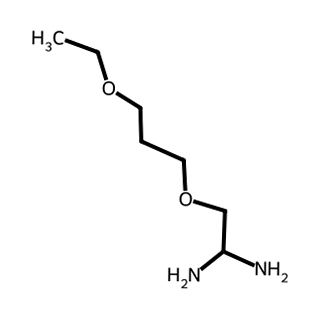 CCOCCCOCC(N)N